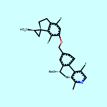 CO[C@H](c1cc(COc2cc(F)c3c(c2F)[C@]2(CC3)C[C@H]2C(=O)O)ccc1-c1cc(C)ncc1F)C(C)(C)C